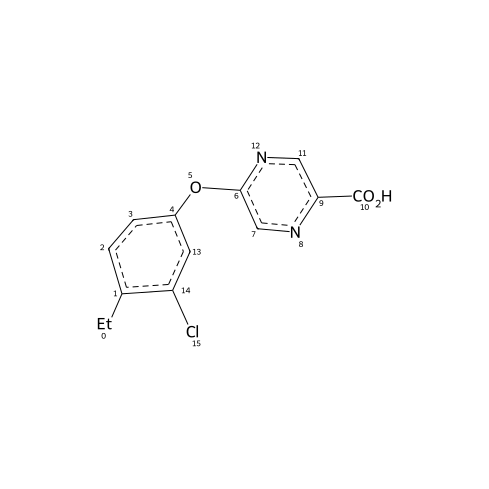 CCc1ccc(Oc2cnc(C(=O)O)cn2)cc1Cl